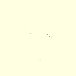 c1csc(-c2cncc3[nH]c(-c4n[nH]c5ccc(-c6cncnc6)cc45)cc23)c1